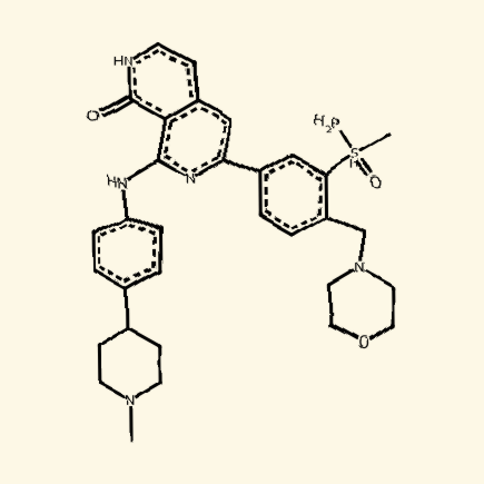 CN1CCC(c2ccc(Nc3nc(-c4ccc(CN5CCOCC5)c([SH](C)(=O)P)c4)cc4cc[nH]c(=O)c34)cc2)CC1